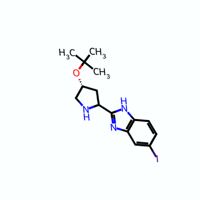 CC(C)(C)O[C@H]1CNC(c2nc3cc(I)ccc3[nH]2)C1